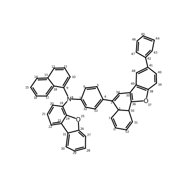 C1=CC2C(c3ccc(N(c4cccc5ccccc45)c4cccc5c4oc4ccccc45)cc3)=Cc3c(oc4ccc(-c5ccccc5)cc34)C2C=C1